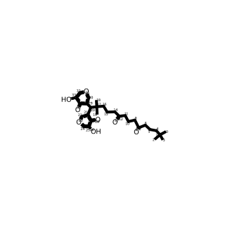 CC(C)(C)CCCC(=O)CCCC(=O)CCCC(C)(C)C(c1cocc(O)c1=O)c1cocc(O)c1=O